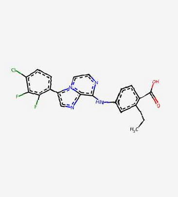 CCc1cc(Nc2nccn3c(-c4ccc(Cl)c(F)c4F)cnc23)ccc1C(=O)O